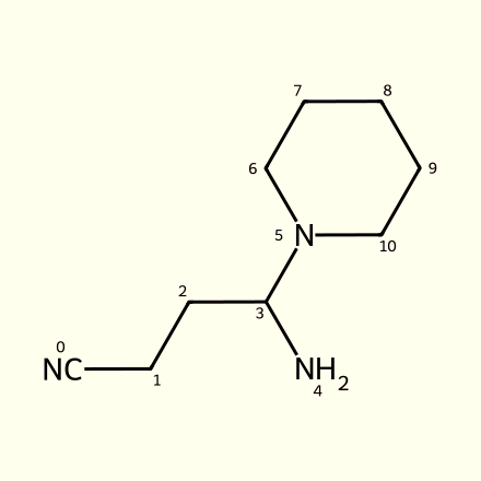 N#CCCC(N)N1CCCCC1